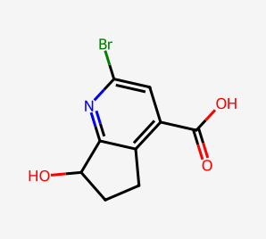 O=C(O)c1cc(Br)nc2c1CCC2O